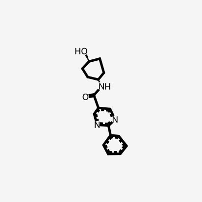 O=C(N[C@H]1CC[C@H](O)CC1)c1cnc(-c2ccccc2)nc1